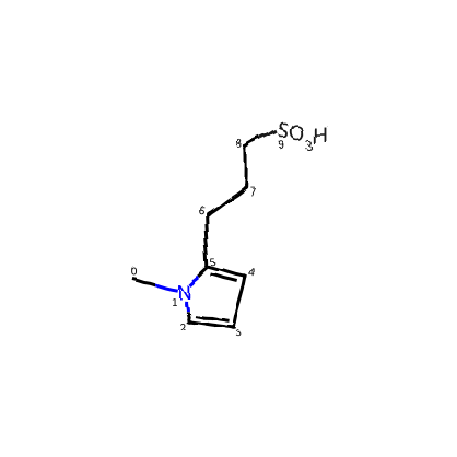 Cn1cccc1CCCS(=O)(=O)O